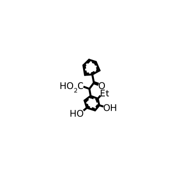 CCc1c(O)cc(O)cc1C(C(=O)O)C(=O)c1ccccc1